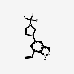 C=Cc1cc(N2C=CN(C(F)(F)F)C2)cc2cn[nH]c12